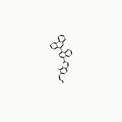 C=C/C=C\c1ccc2ccc(-c3ccc(-c4cc5ccccc5c5ccccc45)c4ccccc34)nc2c1C